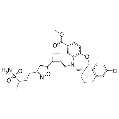 COC(=O)c1ccc2c(c1)N(C[C@@H]1CC[C@H]1[C@@H]1CC(CCC(C)S(N)(=O)=O)=NO1)C[C@@]1(CCCc3cc(Cl)ccc31)CO2